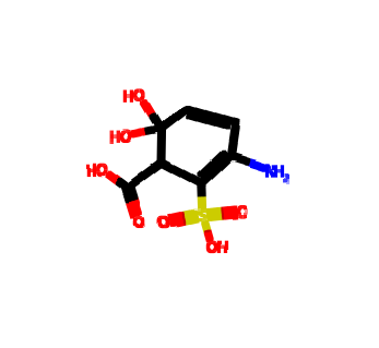 NC1=C(S(=O)(=O)O)C(C(=O)O)C(O)(O)C=C1